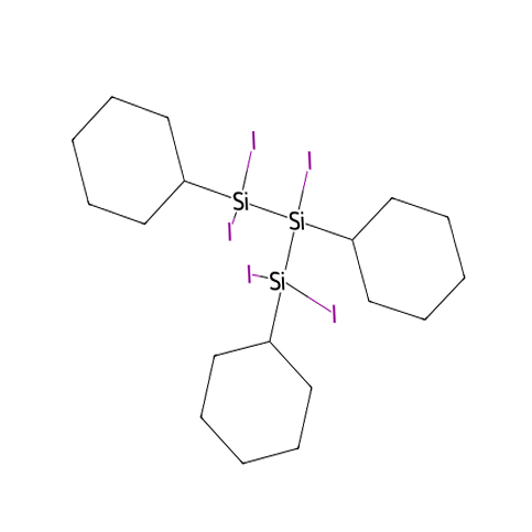 I[Si](I)(C1CCCCC1)[Si](I)(C1CCCCC1)[Si](I)(I)C1CCCCC1